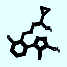 CC(=NOCc1c(F)cccc1-n1nnn(C)c1=O)C1CC1